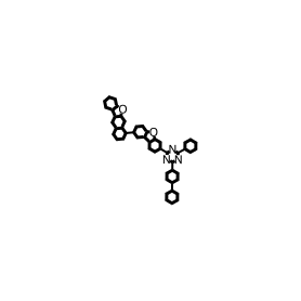 c1ccc(-c2ccc(-c3nc(-c4ccccc4)nc(-c4ccc5c(c4)oc4ccc(-c6cccc7cc8c(cc67)oc6ccccc68)cc45)n3)cc2)cc1